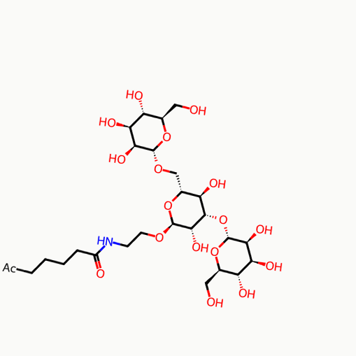 CC(=O)CCCCC(=O)NCCO[C@H]1O[C@H](CO[C@H]2O[C@H](CO)[C@@H](O)[C@H](O)[C@@H]2O)[C@@H](O)[C@H](O[C@H]2O[C@H](CO)[C@@H](O)[C@H](O)[C@@H]2O)[C@@H]1O